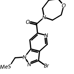 CSCn1nc(Br)c2cnc(C(=O)N3CCCOCC3)cc21